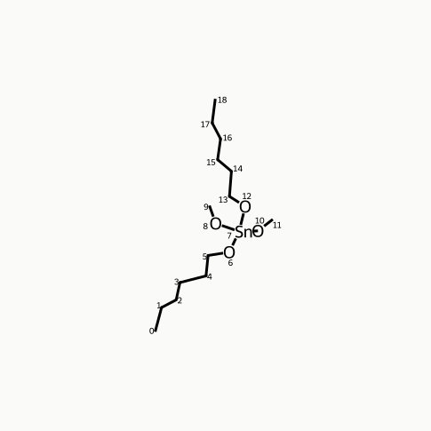 CCCCCC[O][Sn]([O]C)([O]C)[O]CCCCCC